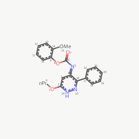 CCCOc1cc(=NC(=O)Oc2ccccc2OC)c(-c2ccccc2)n[nH]1